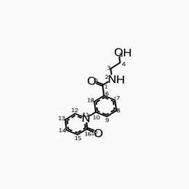 O=C(NCCO)c1[c]ccc(-n2ccccc2=O)c1